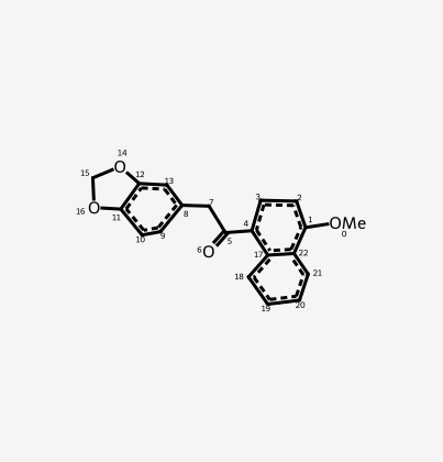 COc1ccc(C(=O)Cc2ccc3c(c2)OCO3)c2ccccc12